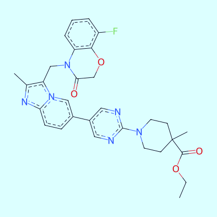 CCOC(=O)C1(C)CCN(c2ncc(-c3ccc4nc(C)c(CN5C(=O)COc6c(F)cccc65)n4c3)cn2)CC1